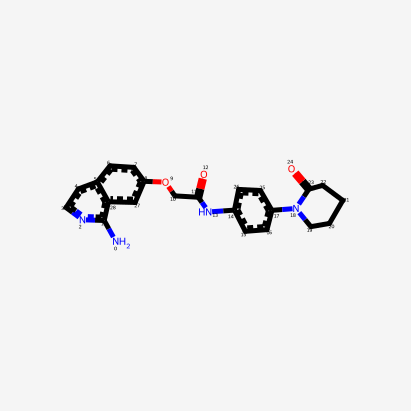 Nc1nccc2ccc(OCC(=O)Nc3ccc(N4CCCCC4=O)cc3)cc12